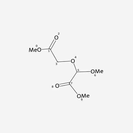 COC(=O)COC(OC)C(=O)OC